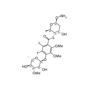 COc1c(O[C@@H]2O[C@@H](C)[C@H](O)[C@@H](OC)[C@H]2O)c(I)c(I)c(C(=O)S[C@H]2[C@@H](O)C[C@H](ON)O[C@@H]2C)c1OC